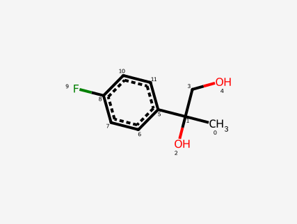 CC(O)(CO)c1ccc(F)cc1